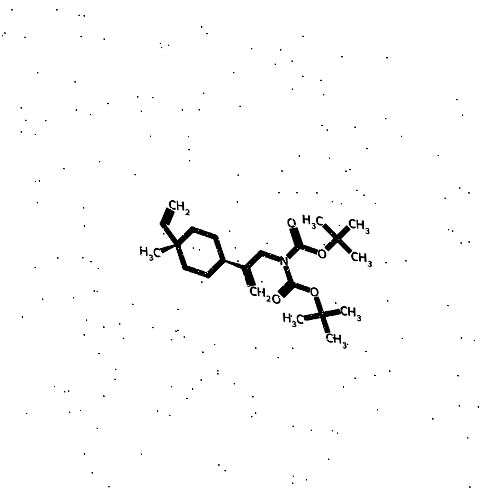 C=C[C@]1(C)CC[C@@H](C(=C)CN(C(=O)OC(C)(C)C)C(=O)OC(C)(C)C)CC1